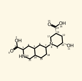 O=C(O)C1CC2CC(N3C[C@@H](O)C[C@@H](C(=O)O)C3)CCC2CN1